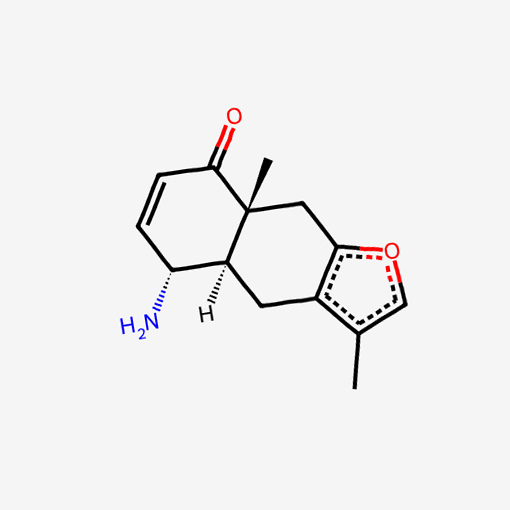 Cc1coc2c1C[C@H]1[C@H](N)C=CC(=O)[C@]1(C)C2